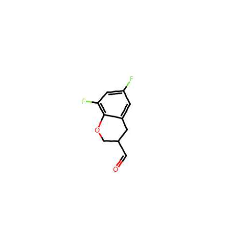 O=CC1COc2c(F)cc(F)cc2C1